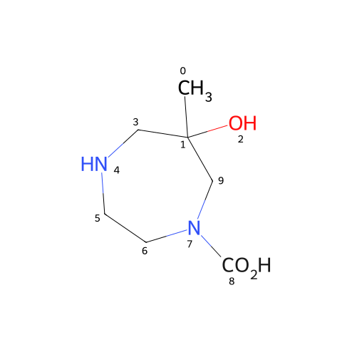 CC1(O)CNCCN(C(=O)O)C1